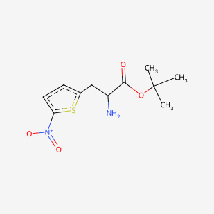 CC(C)(C)OC(=O)C(N)Cc1ccc([N+](=O)[O-])s1